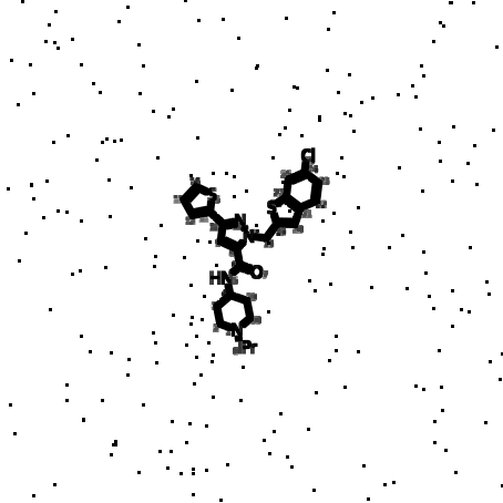 CC(C)N1CCC(NC(=O)c2cc(-c3cccs3)nn2Cc2cc3ccc(Cl)cc3s2)CC1